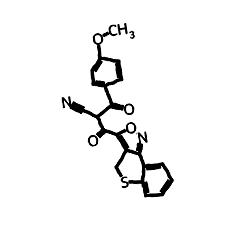 COc1ccc(C(=O)C(C#N)C(=O)c2onc3c2CSc2ccccc2-3)cc1